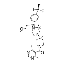 COCC[C@@H](c1ccc(C(F)(F)F)cc1)N1CCN(C2(C)CCN(C(=O)c3c(C)ncnc3C)CC2)C[C@@H]1C